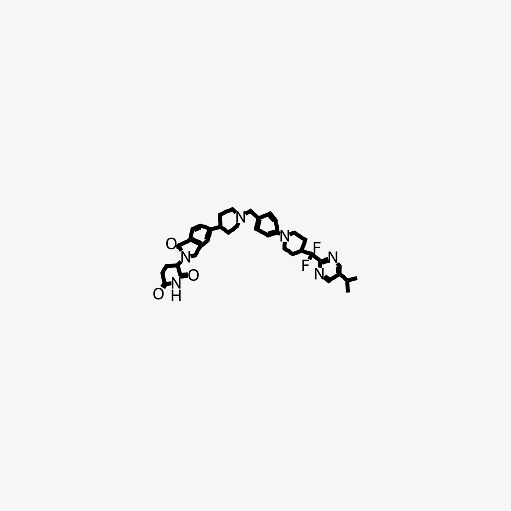 CC(C)c1cnc(C(F)(F)C2CCN(c3ccc(CN4CCC(c5ccc6c(c5)CN(C5CCC(=O)NC5=O)C6=O)CC4)cc3)CC2)nc1